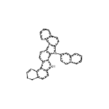 C1=Cc2c(ccc3[nH]c4c(ccc5c6c7ccccc7ccc6n(-c6ccc7ccccc7c6)c54)c23)CC1